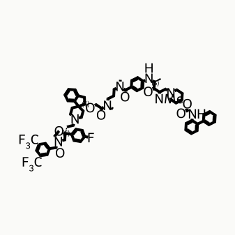 CNC(CN1CCC(OC(=O)Nc2ccccc2-c2ccccc2)CC1)C(=O)[C@H](C)Nc1ccc(C(=O)N(C)CCCN(C)C(=O)CO[C@H]2Cc3ccccc3C23CCN(CC[C@]2(c4ccc(F)cc4)CN(C(=O)c4cc(C(F)(F)F)cc(C(F)(F)F)c4)CO2)CC3)cc1